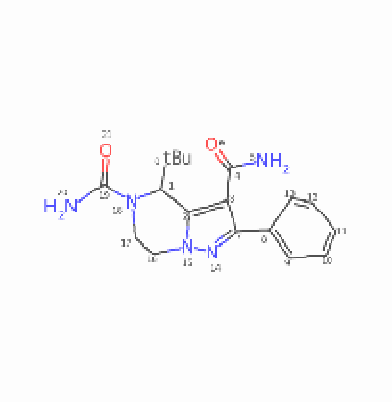 CC(C)(C)C1c2c(C(N)=O)c(-c3ccccc3)nn2CCN1C(N)=O